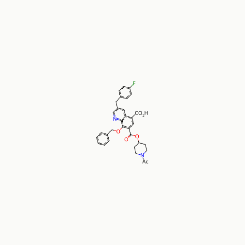 CC(=O)N1CCC(OC(=O)c2cc(C(=O)O)c3cc(Cc4ccc(F)cc4)cnc3c2OCc2ccccc2)CC1